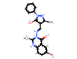 Cc1nn(-c2ccccc2)c(O)c1C=Nn1c(C)nc2ccc(Br)cc2c1=O